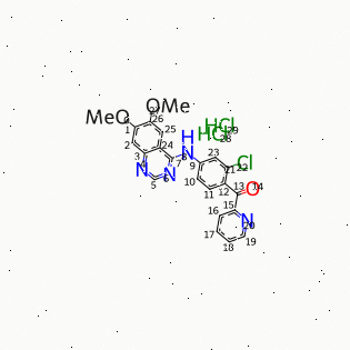 COc1cc2ncnc(Nc3ccc(C(=O)c4ccccn4)c(Cl)c3)c2cc1OC.Cl.Cl